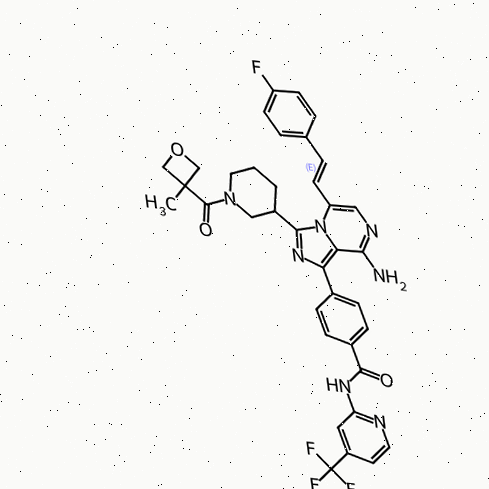 CC1(C(=O)N2CCCC(c3nc(-c4ccc(C(=O)Nc5cc(C(F)(F)F)ccn5)cc4)c4c(N)ncc(/C=C/c5ccc(F)cc5)n34)C2)COC1